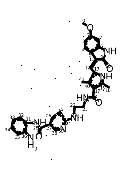 COc1ccc2c(c1)NC(=O)C2=Cc1[nH]c(C)c(C(=O)NCCNc2ccc(C(=O)Nc3ccccc3N)cn2)c1C